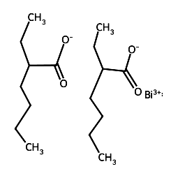 CCCCC(CC)C(=O)[O-].CCCCC(CC)C(=O)[O-].[Bi+3]